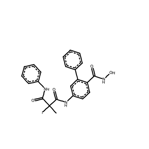 CC(I)(C(=O)Nc1ccccc1)C(=O)Nc1ccc(C(=O)NO)c(-c2ccccc2)c1